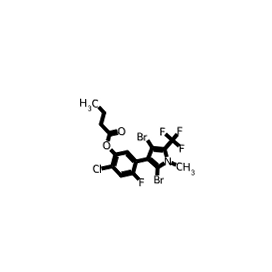 CCCC(=O)Oc1cc(-c2c(Br)c(C(F)(F)F)n(C)c2Br)c(F)cc1Cl